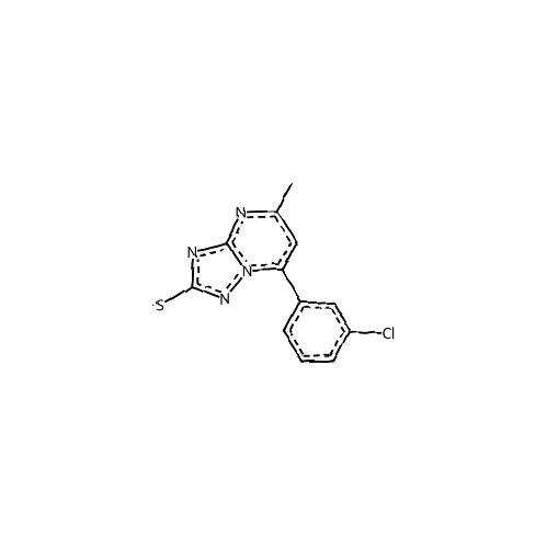 Cc1cc(-c2cccc(Cl)c2)n2nc([S])nc2n1